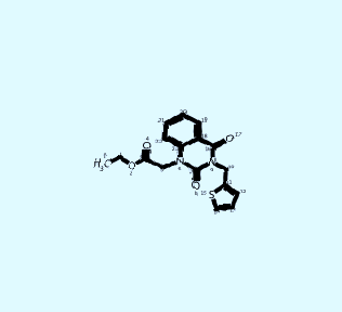 CCOC(=O)Cn1c(=O)n(Cc2cccs2)c(=O)c2ccccc21